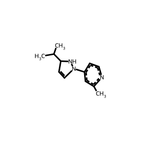 Cc1cc(N2C=CC(C(C)C)N2)ccn1